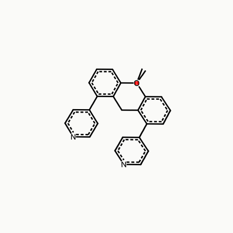 COc1cccc(-c2ccncc2)c1Cc1c(OC)cccc1-c1ccncc1